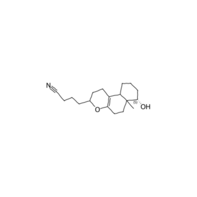 CC12CCC3=C(CCC(CCCC#N)O3)C1CCC[C@@H]2O